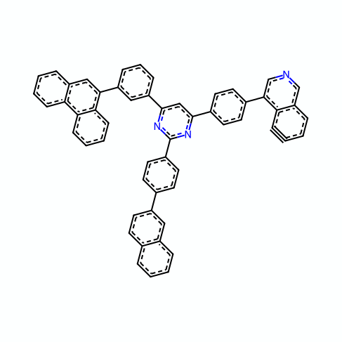 c1ccc2cncc(-c3ccc(-c4cc(-c5cccc(-c6cc7ccccc7c7ccccc67)c5)nc(-c5ccc(-c6ccc7ccccc7c6)cc5)n4)cc3)c2c#1